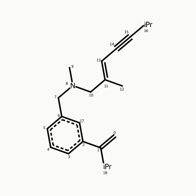 C=C(c1cccc(CN(C)CC(C)=CC#CC(C)C)c1)C(C)C